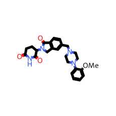 COc1ccccc1N1CCN(Cc2ccc3c(c2)CN(C2CCC(=O)NC2=O)C3=O)CC1